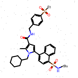 CCS(=O)(=O)c1ccc(CNC(=O)c2cc(-c3ccc(S(=O)(=O)NC(C)(C)C)c4ccccc34)n(CC3CCCCC3)c2C)cc1